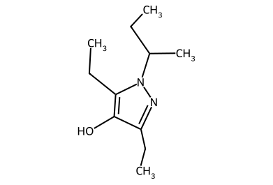 CCc1nn(C(C)CC)c(CC)c1O